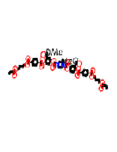 C=CC(=O)OCCCCOC(=O)[C@H]1CC[C@H](C(=O)Oc2ccc(OC(=O)N3CCN(C(=O)Oc4ccc(OC(=O)[C@H]5CC[C@H](C(=O)OCCCCOC(=O)C=C)CC5)c(C(=O)OC)c4)C(C)C3)cc2C(=O)OC)CC1